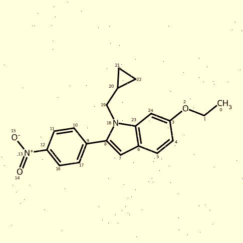 CCOc1ccc2cc(-c3ccc([N+](=O)[O-])cc3)n(CC3CC3)c2c1